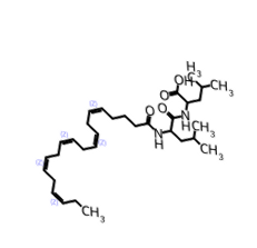 CC/C=C\C/C=C\C/C=C\C/C=C\C/C=C\CCCC(=O)NC(CC(C)C)C(=O)NC(CC(C)C)C(=O)O